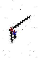 CCCCCCCCCCCCCCCCOC(C)C(CCCCCCC)O[N+](C)(C)CCCC